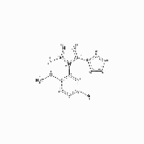 COc1ccc(Br)cc1-n1c(N)nnc1-c1cccs1